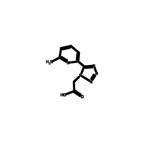 Nc1cccc(-c2nnnn2CC(=O)O)n1